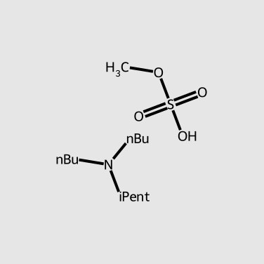 CCCCN(CCCC)C(C)CCC.COS(=O)(=O)O